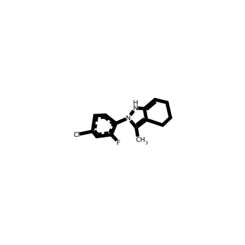 CC1=C2CCCC=C2NN1c1ccc(Cl)cc1F